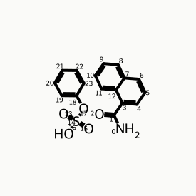 NC(=O)c1cccc2ccccc12.O=S(=O)(O)Oc1ccccc1